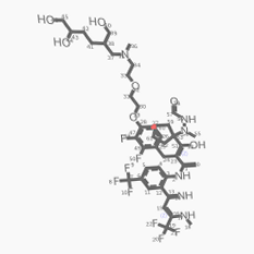 C=C(Nc1ccc(C(F)(F)F)cc1C(=N)/C=C(\NC)C(F)(F)F)/C(Cc1ccc(OCCOCCN(C)CC(CO)CCC(O)CO)c(F)c1F)=C(\O)C1(N(C)NC=O)CCCC1